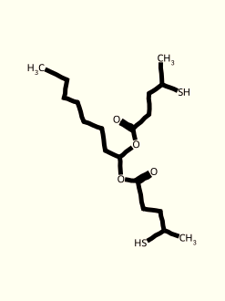 CCCCCCCC(OC(=O)CCC(C)S)OC(=O)CCC(C)S